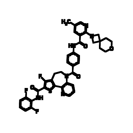 Cc1cnc(N2CC3(CCOCC3)C2)c(C(=O)Nc2ccc(C(=O)N3CCc4c(sc(C(=O)Nc5c(F)cccc5F)c4F)-c4ncccc43)cc2)c1